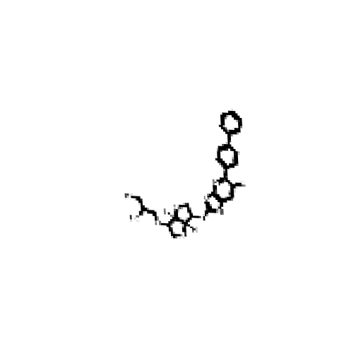 OCC(O)CO[C@@H]1CO[C@@H]2[C@@H]1OC[C@H]2Oc1nc2nc(-c3ccc(-c4ccccc4)cc3)c(Cl)cc2[nH]1